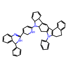 C1=CC2C3=Cc4c5c(n(-c6ccccc6)c4CC3N(C3=CC=C(C4=Nc6ccccc6C(c6ccccc6)N4)CN3)C2C=C1)CCc1ccccc1-5